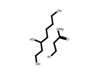 COC(=O)CCC(C)=O.OCCCCC(O)CCO